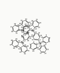 c1ccc([Si](c2ccccc2)(c2ccccc2)c2ccc(-n3c4ccccc4c4ccccc43)c(-c3cc(-n4c5ccccc5c5ccccc54)nc(-n4c5ccccc5c5ccccc54)n3)c2)cc1